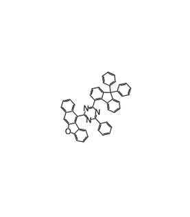 c1ccc(-c2nc(-c3cccc4c3-c3ccccc3C4(c3ccccc3)c3ccccc3)nc(-c3c4ccccc4cc4oc5ccccc5c34)n2)cc1